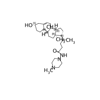 C[C@H](CCC(=O)NN1CCN(C)CC1)[C@H]1CC[C@H]2C3=CC=C4C[C@@H](O)CC[C@]4(C)[C@H]3CC[C@]12C